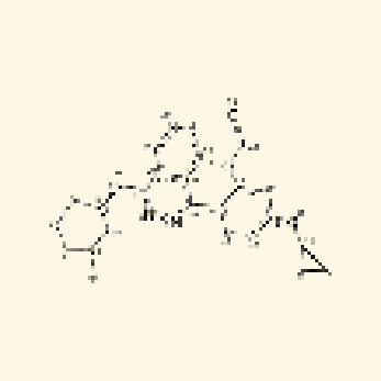 CN1CCC[C@@H](Nc2nnc(-c3ccc(OC4CC4)cc3OC=O)c3ccncc23)C1